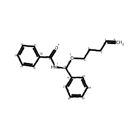 C=CCCCO[C@H](NC(=O)c1ccccc1)c1ccccc1